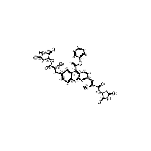 O=C1CC(OC(=O)C(Br)Cc2ccc3c(C(=O)Oc4ccccc4)c4cc(CC(Br)C(=O)OC5CC(=O)NC5=O)ccc4nc3c2)C(=O)N1